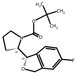 CC(C)(C)OC(=O)N1CCC[C@H]1[C@H]1OCc2cc(F)ccc21